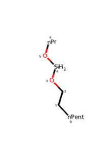 CCCCCCCO[SiH2]OCCC